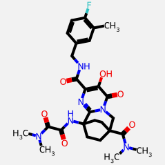 Cc1cc(CNC(=O)c2nc3n(c(=O)c2O)CC2(C(=O)N(C)C)CCC3(NC(=O)C(=O)N(C)C)CC2)ccc1F